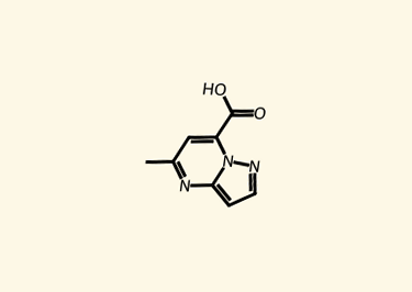 Cc1cc(C(=O)O)n2nccc2n1